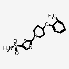 NS(=O)(=O)c1cnc(N2CCC(Oc3ccccc3C(F)(F)F)CC2)s1